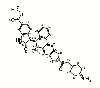 COC(=O)c1ccc2c(c1)NC(=O)/C2=C(/c1ccccc1)N(C)c1ccc2c(c1)CN(C(=O)CN1CCN(C)CC1)C2